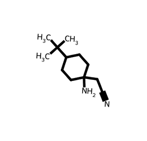 CC(C)(C)C1CCC(N)(CC#N)CC1